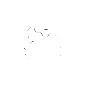 CC(=O)CNC1CN(Cc2ccc(-c3cccc4nc(NC(=O)C5CC5)nn34)cc2)C1